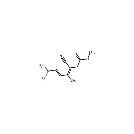 COC(=O)C/C(C#N)=C(C)/C=C/N(C)C